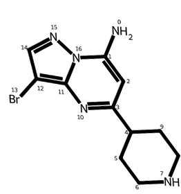 Nc1cc(C2CCNCC2)nc2c(Br)cnn12